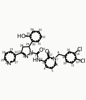 O=C(Nc1cccn(Cc2ccc(Cl)c(Cl)c2)c1=O)N1N=C(c2cccnc2)CC1c1ccccc1O